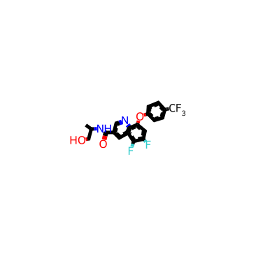 CC(CO)NC(=O)c1cnc2c(Oc3ccc(C(F)(F)F)cc3)cc(F)c(F)c2c1